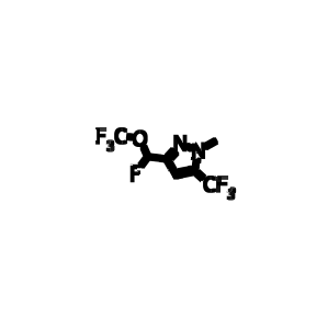 Cn1nc(C(F)OC(F)(F)F)cc1C(F)(F)F